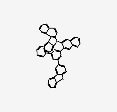 c1ccc(-c2nc(-c3ccc4sc5ccccc5c4c3)nc(-c3cc4ccccc4cc3-n3c4ccccc4c4c5ccccc5ccc43)n2)cc1